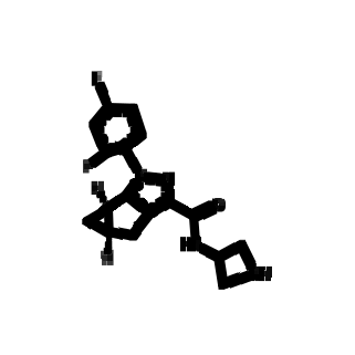 O=C(NC1CNC1)c1nn(-c2ccc(F)cc2F)c2c1C[C@H]1C[C@@H]21